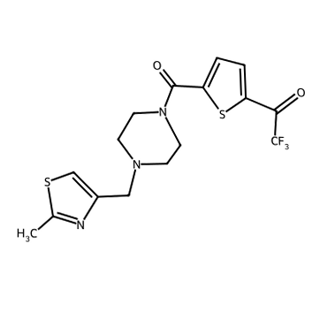 Cc1nc(CN2CCN(C(=O)c3ccc(C(=O)C(F)(F)F)s3)CC2)cs1